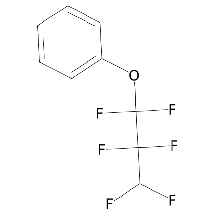 FC(F)C(F)(F)C(F)(F)Oc1ccccc1